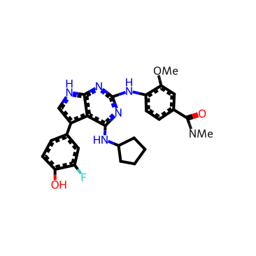 CNC(=O)c1ccc(Nc2nc(NC3CCCC3)c3c(-c4ccc(O)c(F)c4)c[nH]c3n2)c(OC)c1